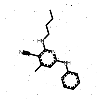 CCCCNc1nc(Nc2ccccc2)cc(C)c1C#N